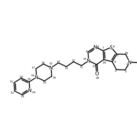 CN1CCc2c(sc3ncn(CCCCN4CCN(c5ccccn5)CC4)c(=O)c23)C1